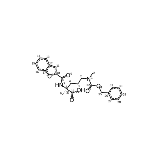 CN(CCC[C@](C)(NC(=O)c1cc2ccccc2o1)C(=O)O)C(=O)OCc1ccccc1